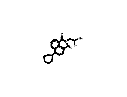 CCCCC(CC)CN1C(=O)c2cccc3c(C4CCCCC4)ccc(c23)C1=O